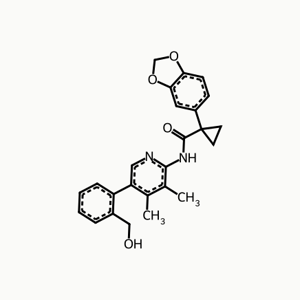 Cc1c(-c2ccccc2CO)cnc(NC(=O)C2(c3ccc4c(c3)OCO4)CC2)c1C